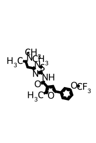 Cc1oc(-c2cccc(OC(F)(F)F)c2)cc1C(=O)Nc1nc(CC(C)N(C)C)ns1